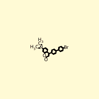 CCN(CC)c1ccc2c(-c3ccc(-c4ccc(Br)cc4)cc3)cc(=O)oc2c1